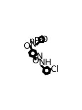 CCCN(CC1CCOC1)C(=O)c1ccc2oc(NCc3cccc(Cl)c3)nc2c1